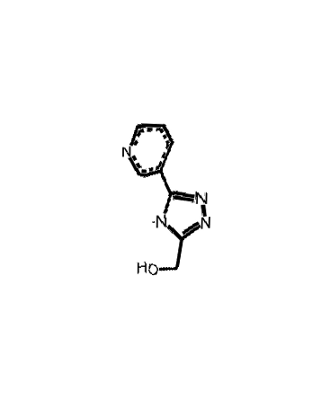 OCC1=NN=C(c2cccnc2)[N]1